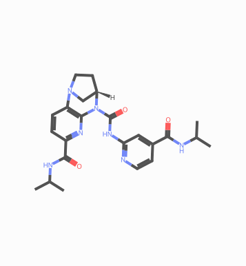 CC(C)NC(=O)c1ccnc(NC(=O)N2c3nc(C(=O)NC(C)C)ccc3N3CC[C@H]2C3)c1